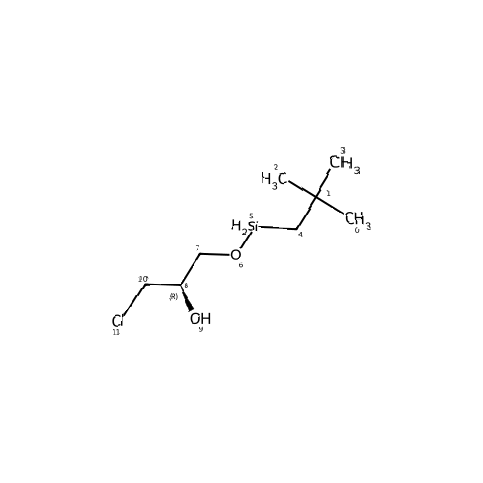 CC(C)(C)C[SiH2]OC[C@@H](O)CCl